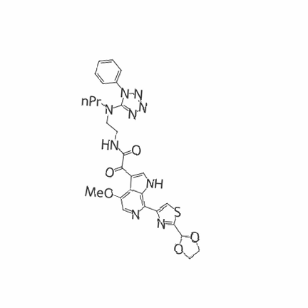 CCCN(CCNC(=O)C(=O)c1c[nH]c2c(-c3csc(C4OCCO4)n3)ncc(OC)c12)c1nnnn1-c1ccccc1